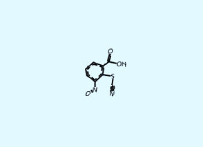 N#CSc1c(N=O)cccc1C(=O)O